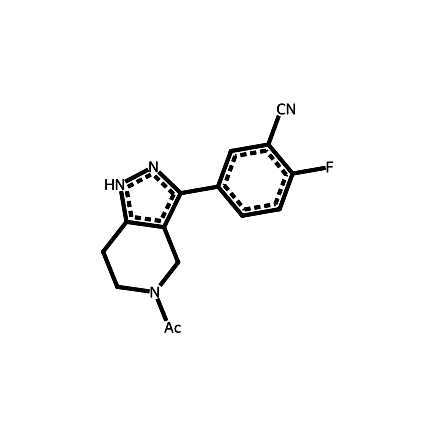 CC(=O)N1CCc2[nH]nc(-c3ccc(F)c(C#N)c3)c2C1